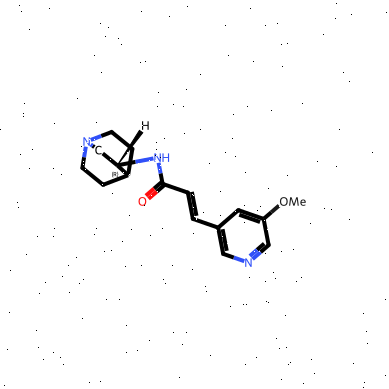 COc1cncc(C=CC(=O)N[C@H]2CN3CCC2CC3)c1